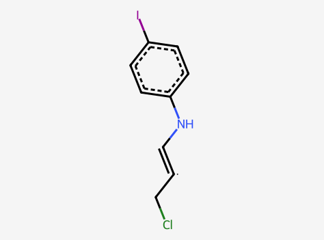 ClC/[C]=C/Nc1ccc(I)cc1